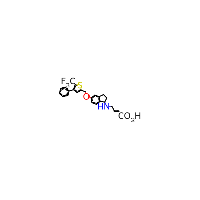 O=C(O)CCCNC1CCc2cc(OCc3cc(-c4ccccc4)c(C(F)(F)F)s3)ccc21